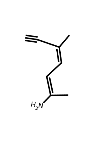 C#C/C(C)=C\C=C(/C)N